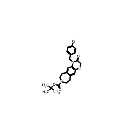 CC(C)(C)OC(=O)N1CCc2cc3c(cc2CC1)N(Cc1ccc(Cl)cc1)C(=O)CO3